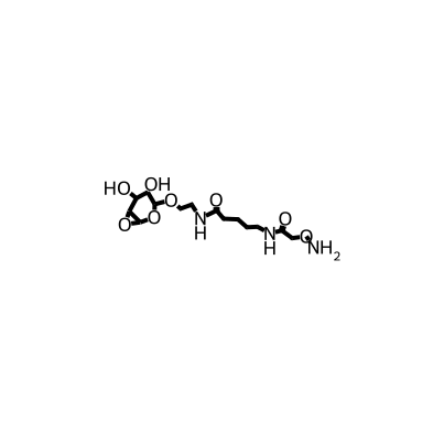 NOCC(=O)NCCCCC(=O)NCCOC1OC2OC2C(O)C1O